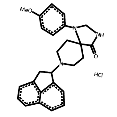 COc1ccc(N2CNC(=O)C23CCN(C2Cc4cccc5cccc2c45)CC3)cc1.Cl